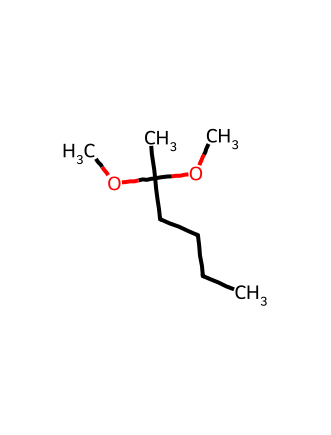 CCCCC(C)(OC)OC